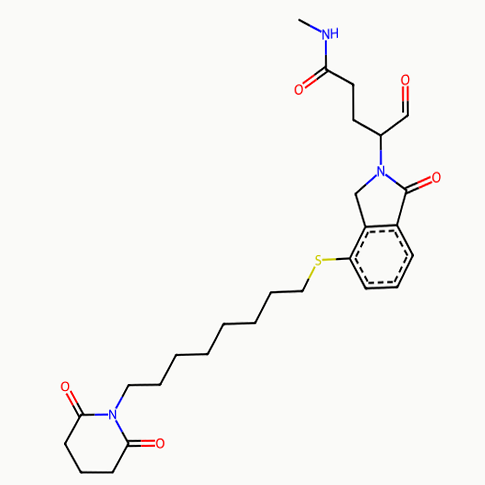 CNC(=O)CCC(C=O)N1Cc2c(SCCCCCCCCN3C(=O)CCCC3=O)cccc2C1=O